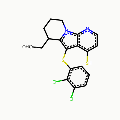 O=CCC1CCCn2c1c(Sc1cccc(Cl)c1Cl)c1c(S)ccnc12